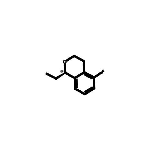 CC[C@H]1OCCc2c(F)cccc21